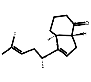 C/C(F)=C/C[C@@H](C)C1=CC[C@H]2C(=O)CCC[C@]12C